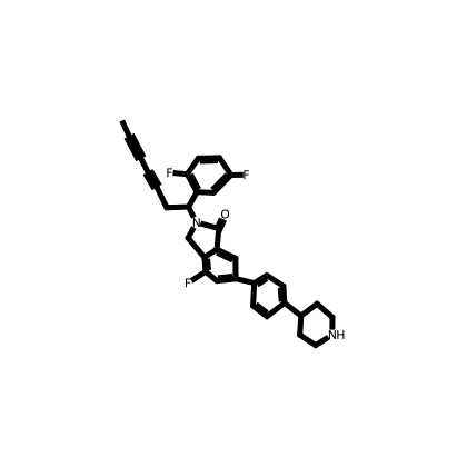 CC#CC#CCC(c1cc(F)ccc1F)N1Cc2c(F)cc(-c3ccc(C4CCNCC4)cc3)cc2C1=O